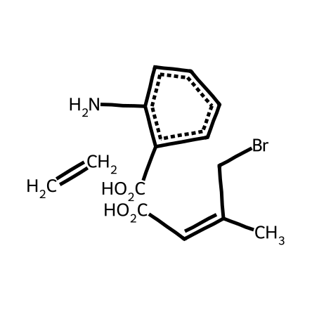 C/C(=C/C(=O)O)CBr.C=C.Nc1ccccc1C(=O)O